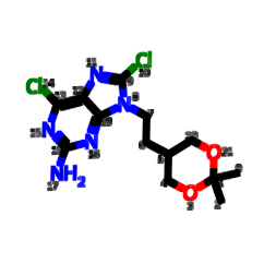 CC1(C)OCC(CCn2c(Cl)nc3c(Cl)nc(N)nc32)CO1